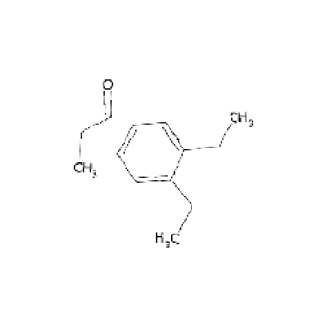 CCC=O.CCc1ccccc1CC